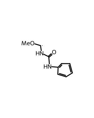 CO[CH]NC(=O)Nc1ccccc1